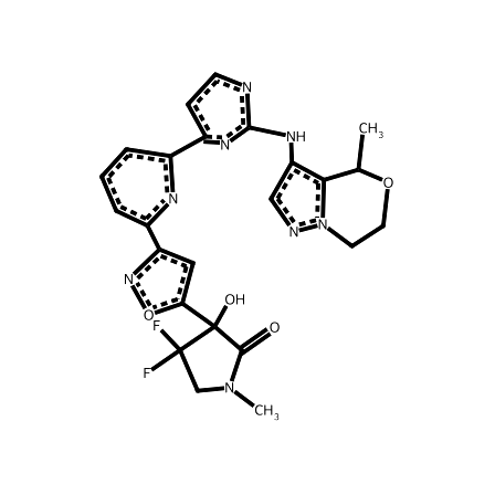 CC1OCCn2ncc(Nc3nccc(-c4cccc(-c5cc(C6(O)C(=O)N(C)CC6(F)F)on5)n4)n3)c21